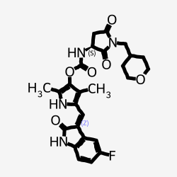 Cc1[nH]c(/C=C2\C(=O)Nc3ccc(F)cc32)c(C)c1OC(=O)N[C@H]1CC(=O)N(CC2CCOCC2)C1=O